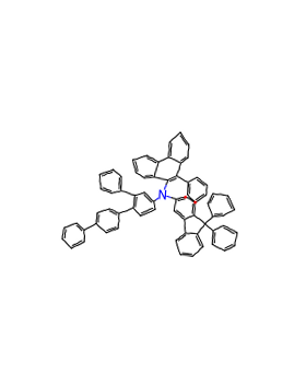 c1ccc(-c2ccc(-c3ccc(N(c4ccc5c(c4)-c4ccccc4C5(c4ccccc4)c4ccccc4)c4c(-c5ccccc5)c5ccccc5c5ccccc45)cc3-c3ccccc3)cc2)cc1